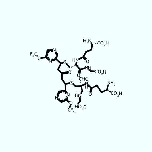 N[C@H](CCC(=O)N[C@@](C=O)(CNCC(=O)O)CSC(CC(=O)CC(SC[C@H](NC(=O)CC[C@H](N)C(=O)O)C(=O)NCC(=O)O)c1cncc(OC(F)(F)F)n1)c1cncc(OC(F)(F)F)n1)C(=O)O